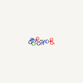 CCOC(=O)C1CCN(c2ccc3c(C(=O)NC[C@@H](C)c4ccccc4)c(Cl)ccc3n2)CC1